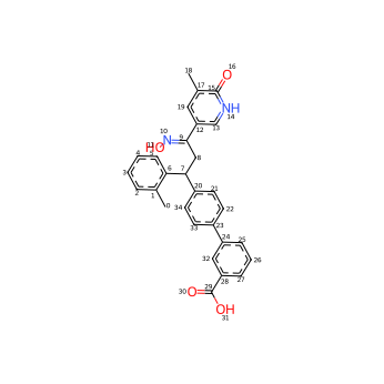 Cc1ccccc1C(C/C(=N\O)c1c[nH]c(=O)c(C)c1)c1ccc(-c2cccc(C(=O)O)c2)cc1